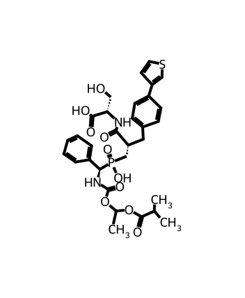 CC(OC(=O)N[C@@H](c1ccccc1)P(=O)(O)C[C@@H](Cc1ccc(-c2ccsc2)cc1)C(=O)N[C@@H](CO)C(=O)O)OC(=O)C(C)C